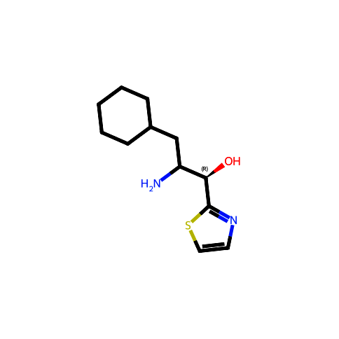 NC(CC1CCCCC1)[C@@H](O)c1nccs1